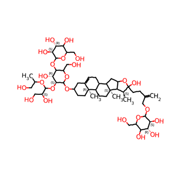 C=C(CCC1(O)OC2CC3C4CC=C5CC(OC6OC(CO)C(OC7OC(CO)C(O)[C@@H](O)[C@@H]7O)[C@@H](O)[C@@H]6OC(OC(C)CO)[C@@H](O)CO)CC[C@]5(C)C4CC[C@]3(C)C2[C@@H]1C)COC1OC(CO)C(O)[C@@H](O)[C@@H]1O